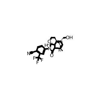 C[C@@]12C[C@@H](CO)[C@]3(CCO[C@H]4C3C1C(=O)N4c1ccc(C#N)c(C(F)(F)F)c1)O2